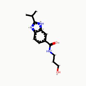 CC(C)c1nc2ccc(C(=O)NCCCO)cc2[nH]1